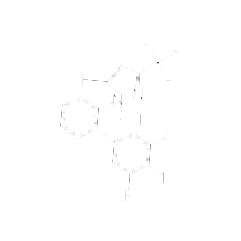 C[N+]1(c2ccccc2-c2cc(F)c(F)c(F)c2)N=C(C(F)(F)F)[C]=C1F